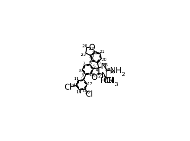 CN1C(=O)C(c2cccc(-c3cc(Cl)cc(Cl)c3)c2)(c2ccc3c(c2)CCO3)N=C1N.Cl